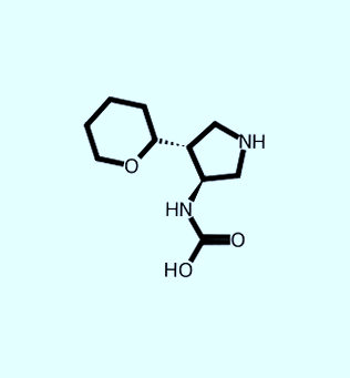 O=C(O)N[C@@H]1CNC[C@H]1C1CCCCO1